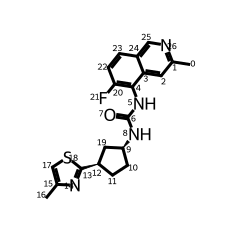 Cc1cc2c(NC(=O)N[C@H]3CC[C@@H](c4nc(C)cs4)C3)c(F)ccc2cn1